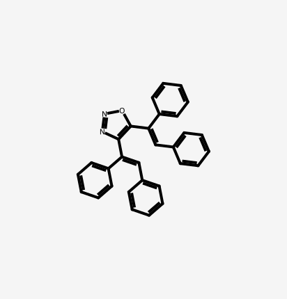 C(=C(c1ccccc1)c1nnoc1C(=Cc1ccccc1)c1ccccc1)c1ccccc1